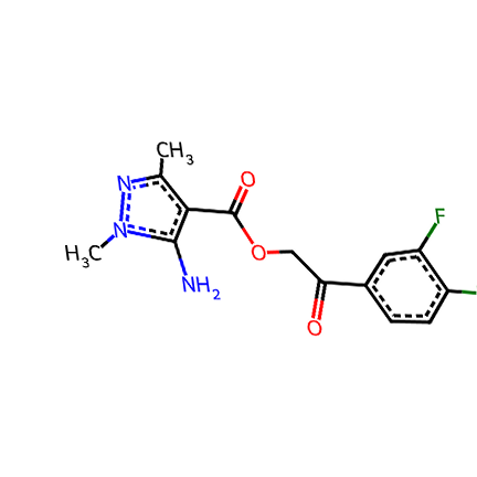 Cc1nn(C)c(N)c1C(=O)OCC(=O)c1ccc(F)c(F)c1